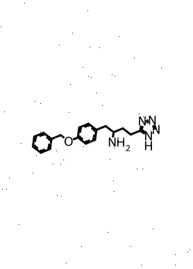 NC(CCc1nnn[nH]1)Cc1ccc(OCc2ccccc2)cc1